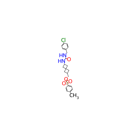 Cc1ccc(S(=O)(=O)OCC2CC3(C2)CC(NC(=O)NCc2ccc(Cl)cc2)C3)cc1